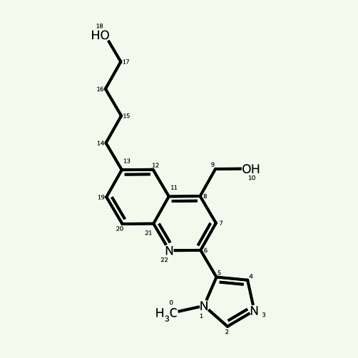 Cn1cncc1-c1cc(CO)c2cc(CCCCO)ccc2n1